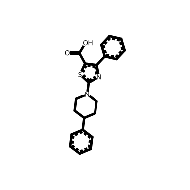 O=C(O)c1sc(N2CCC(c3ccccc3)CC2)nc1-c1ccccc1